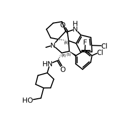 CN1[C@@H](C(=O)NC2CCC(CO)CC2)[C@H](c2cccc(Cl)c2F)[C@]2(C(=O)Nc3cc(Cl)ccc32)C12CCCCC2